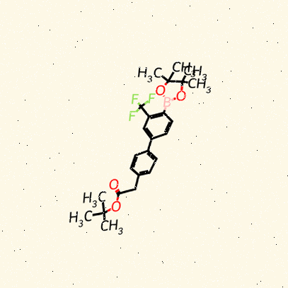 CC(C)(C)OC(=O)Cc1ccc(-c2ccc(B3OC(C)(C)C(C)(C)O3)c(C(F)(F)F)c2)cc1